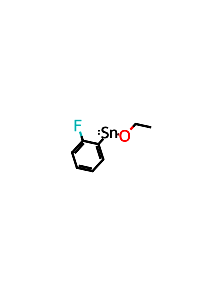 CC[O][Sn][c]1ccccc1F